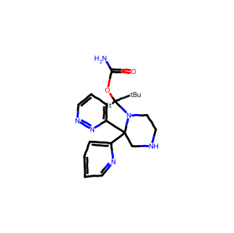 CCC(OC(N)=O)(N1CCNCC1(c1ccccn1)c1cccnn1)C(C)(C)C